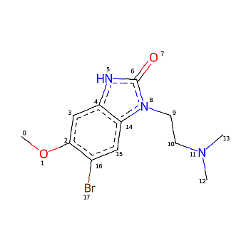 COc1cc2[nH]c(=O)n(CCN(C)C)c2cc1Br